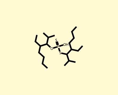 CCCCC(CC)C(OP(O)(=S)SC(C(C)C)C(CC)CCCC)C(C)C